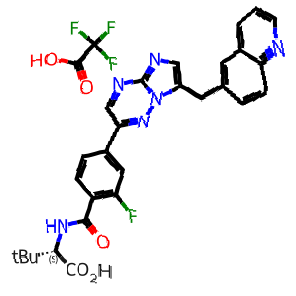 CC(C)(C)[C@H](NC(=O)c1ccc(-c2cnc3ncc(Cc4ccc5ncccc5c4)n3n2)cc1F)C(=O)O.O=C(O)C(F)(F)F